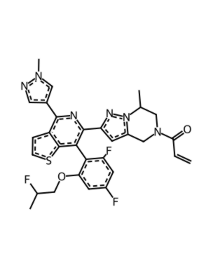 C=CC(=O)N1Cc2cc(-c3nc(-c4cnn(C)c4)c4ccsc4c3-c3c(F)cc(F)cc3OCC(C)F)nn2C(C)C1